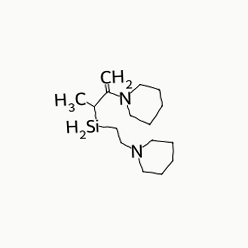 C=C(C(C)[SiH2]CCN1CCCCC1)N1CCCCC1